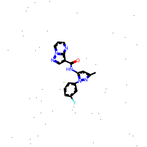 Cc1cc(NC(=O)c2cnn3cccnc23)n(-c2cccc(F)c2)n1